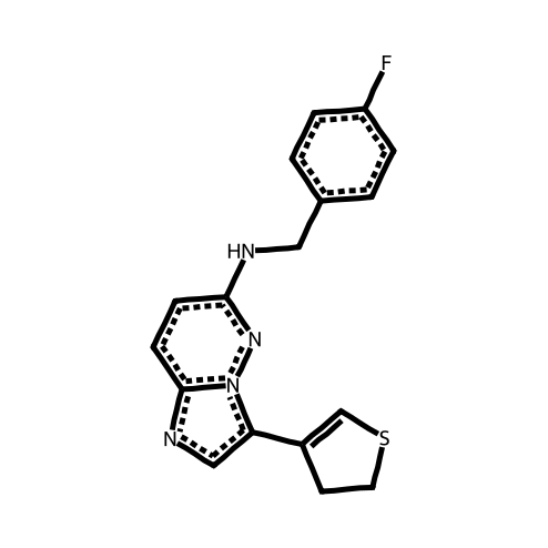 Fc1ccc(CNc2ccc3ncc(C4=CSCC4)n3n2)cc1